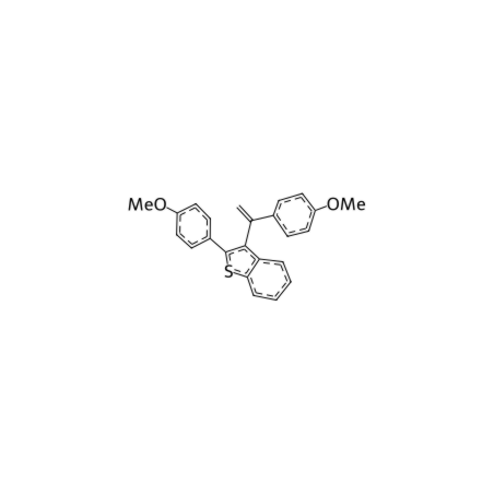 C=C(c1ccc(OC)cc1)c1c(-c2ccc(OC)cc2)sc2ccccc12